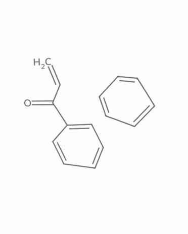 C=CC(=O)c1ccccc1.c1ccccc1